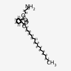 CCCCCCCCCCCCCCCCCCOC(=O)c1ccccc1C(=O)OCCCN